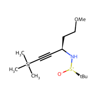 COCC[C@H](C#C[Si](C)(C)C)N[S@+]([O-])C(C)(C)C